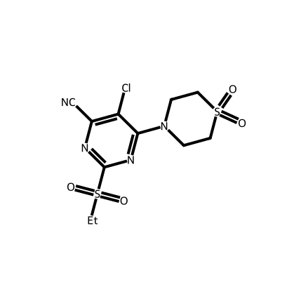 CCS(=O)(=O)c1nc(C#N)c(Cl)c(N2CCS(=O)(=O)CC2)n1